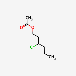 CCCC(Cl)CCOC(C)=O